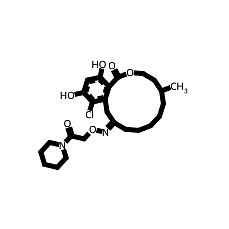 CC1CCCCC/C(=N/OCC(=O)N2CCCCC2)Cc2c(Cl)c(O)cc(O)c2C(=O)OCC1